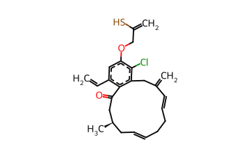 C=Cc1cc(OCC(=C)S)c(Cl)c2c1C(=O)C[C@H](C)C/C=C/CC/C=C/C(=C)C2